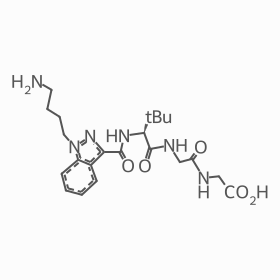 CC(C)(C)[C@H](NC(=O)c1nn(CCCCN)c2ccccc12)C(=O)NCC(=O)NCC(=O)O